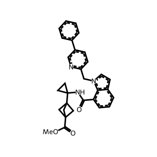 COC(=O)C12CC(C3(NC(=O)c4cccc5ccn(Cc6ccc(-c7ccccc7)cn6)c45)CC3)(C1)C2